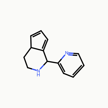 C1=CC2CCNC(c3ccccn3)C2=C1